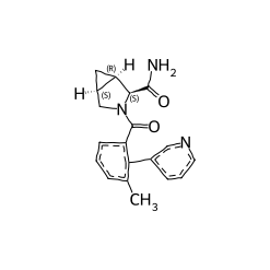 Cc1cccc(C(=O)N2C[C@H]3C[C@H]3[C@H]2C(N)=O)c1-c1cccnc1